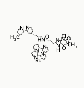 Cc1ccnc(-c2cc(CCCCNC(=O)CCCc3nc4c([nH]3)c(=O)n(C)c(=O)n4C)ccn2)c1.[Ru].c1ccc(-c2ccccn2)nc1.c1ccc(-c2ccccn2)nc1